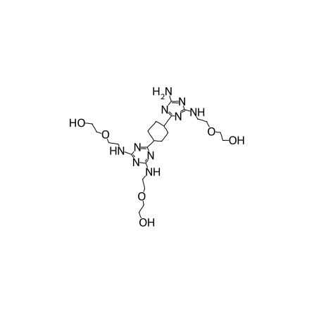 Nc1nc(NCCOCCO)nc(C2CCC(c3nc(NCCOCCO)nc(NCCOCCO)n3)CC2)n1